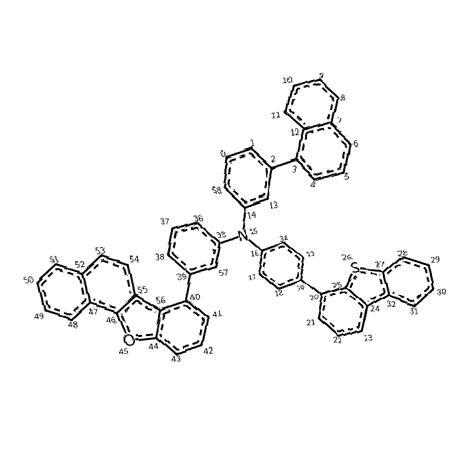 c1cc(-c2cccc3ccccc23)cc(N(c2ccc(-c3cccc4c3sc3ccccc34)cc2)c2cccc(-c3cccc4oc5c6ccccc6ccc5c34)c2)c1